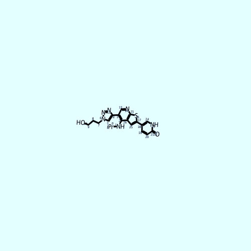 CC(C)Nc1c(-c2cn(CCCO)nn2)cnc2sc(-c3ccc(=O)[nH]c3)cc12